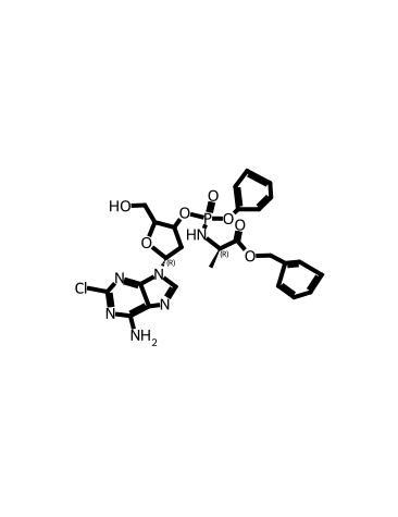 C[C@@H](NP(=O)(Oc1ccccc1)OC1C[C@H](n2cnc3c(N)nc(Cl)nc32)OC1CO)C(=O)OCc1ccccc1